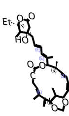 CC[C@@H]1OC(=O)C[C@@](O)(C/C=C/C=C(\C)C2OC(=O)CC/C=C(\C)C(C)[C@@H]3OCOC(/C=C\C=C/[C@@H]2C)C3C)C1C